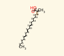 CCCCCC=CCC=CCC=CCCCCCSC(C)C(=O)O